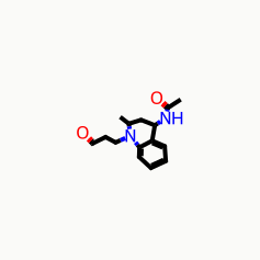 CC(=O)NC1CC(C)N(CCC=O)c2ccccc21